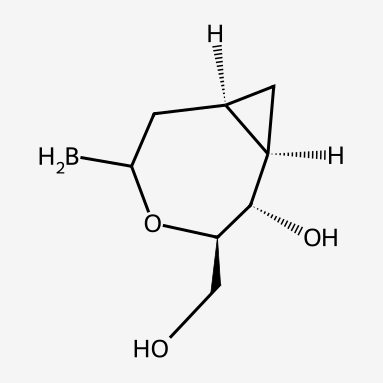 BC1C[C@H]2C[C@H]2[C@H](O)[C@@H](CO)O1